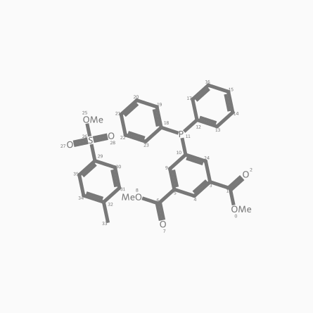 COC(=O)c1cc(C(=O)OC)cc(P(c2ccccc2)c2ccccc2)c1.COS(=O)(=O)c1ccc(C)cc1